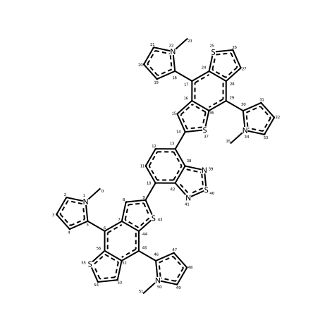 Cn1cccc1-c1c2cc(-c3ccc(-c4cc5c(-c6cccn6C)c6sccc6c(-c6cccn6C)c5s4)c4nsnc34)sc2c(-c2cccn2C)c2ccsc12